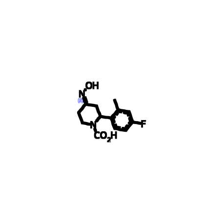 Cc1cc(F)ccc1C1C/C(=N\O)CCN1C(=O)O